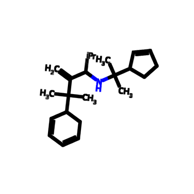 C=C(C(NC(C)(C)C1C=CCC1)C(C)C)C(C)(C)C1C=CC=CC1